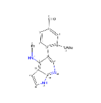 CCNc1c(-c2ccc(C=O)cc2OC)cnc2[nH]ccc12